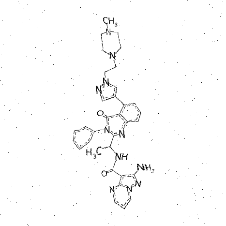 CC(NC(=O)c1c(N)nn2cccnc12)c1nc2cccc(-c3cnn(CCN4CCN(C)CC4)c3)c2c(=O)n1-c1ccccc1